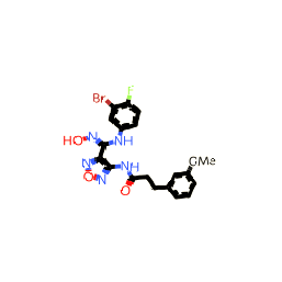 COc1cccc(CCC(=O)Nc2nonc2/C(=N\O)Nc2ccc(F)c(Br)c2)c1